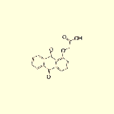 O=C(O)COc1cccc2c1C(=O)c1ccccc1C2=O